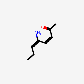 CC/C=C(N)\C=C/C(C)=O